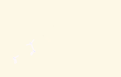 CC1CCC2C(CCC3C2CCC2(C)C(C(=O)Cn4cc5ncccc5n4)CCC32)C1